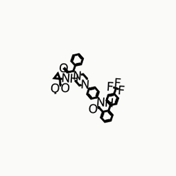 COC(=O)C1(NC(=O)C(c2ccccc2)N2CCN(c3ccc(NC(=O)c4ccccc4-c4ccc(C(F)(F)F)cc4)cc3)CC2)CC1